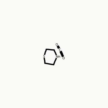 C1CSCCN1.O=C=O